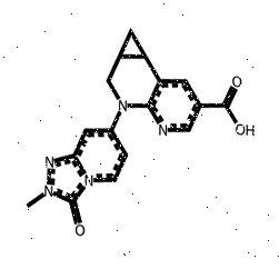 Cn1nc2cc(N3CC4CC4c4cc(C(=O)O)cnc43)ccn2c1=O